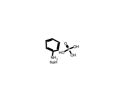 Nc1ccccc1.O=P(O)(O)O.[NaH]